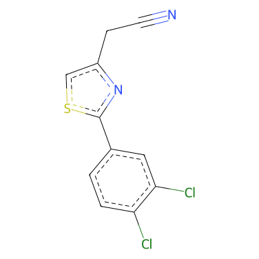 N#CCc1csc(-c2ccc(Cl)c(Cl)c2)n1